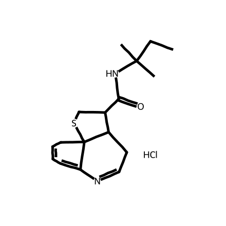 CCC(C)(C)NC(=O)C1CSC23CC=CC=C2N=CCC13.Cl